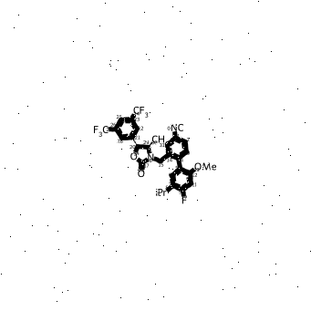 [C-]#[N+]c1ccc(-c2cc(C(C)C)c(F)cc2OC)c(CN2C(=O)O[C@H](c3cc(C(F)(F)F)cc(C(F)(F)F)c3)[C@@H]2C)c1